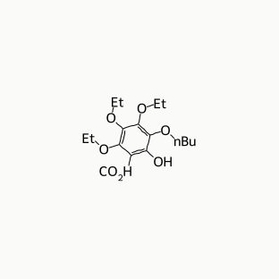 CCCCOc1c(O)c(C(=O)O)c(OCC)c(OCC)c1OCC